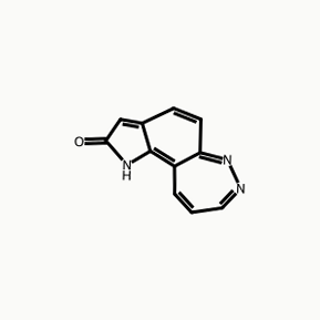 O=c1cc2ccc3nncccc3c2[nH]1